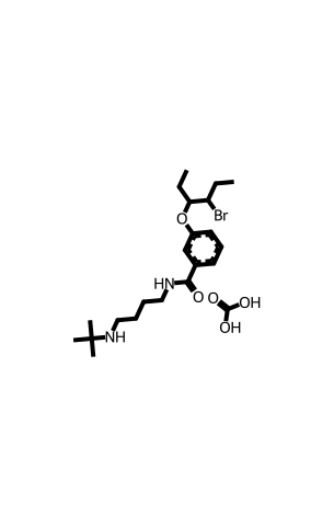 CCC(Br)C(CC)Oc1cccc(C(=O)NCCCCNC(C)(C)C)c1.O=C(O)O